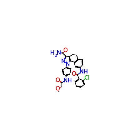 COCC(=O)Nc1ccc(-n2nc(C(N)=O)c3c2-c2cc(NC(=O)c4ccccc4Cl)ccc2CC3)cc1